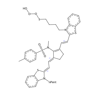 CCCCCN1/C(=C/C=C2\CCC(/C=C/c3sc4ccccc4[n+]3CCCCSOOO)=C2N(C)S(=O)(=O)c2ccc(C)cc2)Sc2ccccc21